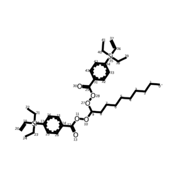 [CH2]CCCCCCCC[C](OOC(=O)c1ccc([Si](C=C)(CC)CC)cc1)OOC(=O)c1ccc([Si](C=C)(CC)CC)cc1